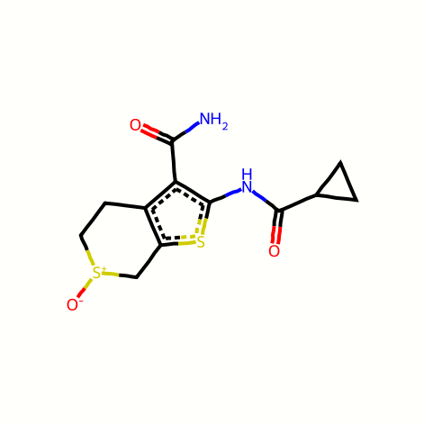 NC(=O)c1c(NC(=O)C2CC2)sc2c1CC[S+]([O-])C2